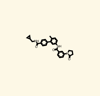 Cc1ccc(NC(=O)c2cccc(N3CCCC3=O)c2)cc1-c1ccc(C(=O)NCC2CC2)cc1